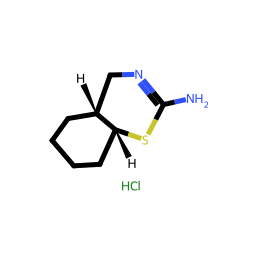 Cl.NC1=NC[C@H]2CCCC[C@H]2S1